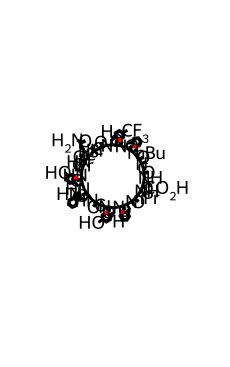 CCCC[C@H]1C(=O)N(C)CC(=O)N[C@@H](CC(=O)O)C(=O)N[C@@H](C(C)C)C(=O)N(C)[C@@H](Cc2ccccc2)C(=O)N[C@@H](Cc2ccc(O)cc2)C(=O)N(C)CC(=O)N[C@@H](Cc2c[nH]c3ccccc23)C(=O)N[C@@H](Cc2ccc(O)cc2)C(=O)N[C@@H](CC(C)C)C(=O)N[C@H](C(=O)NCC(N)=O)CSCC(=O)N[C@@H](Cc2ccc(C(F)(F)F)cc2)C(=O)N(C)[C@@H](Cc2ccccc2)C(=O)N1C